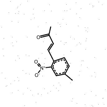 CC(=O)/C=C/c1ccc(C)cc1[N+](=O)[O-]